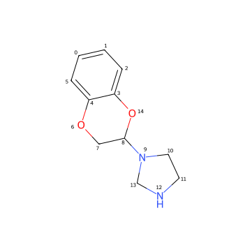 c1ccc2c(c1)OCC(N1CCNC1)O2